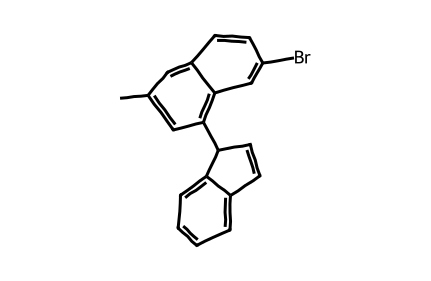 Cc1cc(C2C=Cc3ccccc32)c2cc(Br)ccc2c1